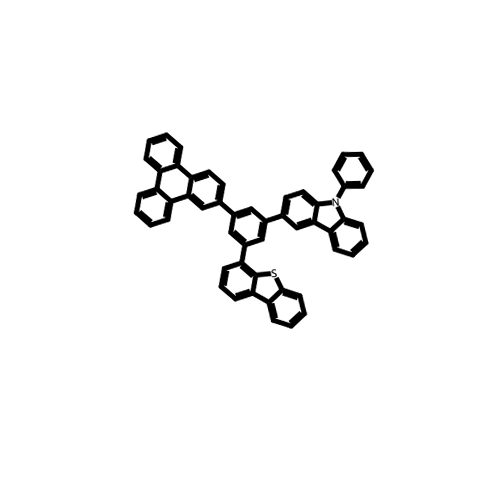 c1ccc(-n2c3ccccc3c3cc(-c4cc(-c5ccc6c7ccccc7c7ccccc7c6c5)cc(-c5cccc6c5sc5ccccc56)c4)ccc32)cc1